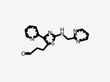 O=CCCc1sc(NCc2ncccn2)nc1-c1ccccn1